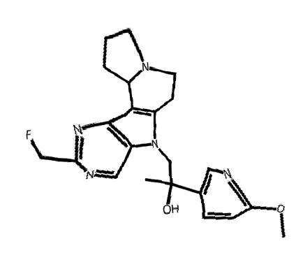 COc1ccc(C(C)(O)Cn2c3c(c4nc(CF)ncc42)C2CCCN2CC3)cn1